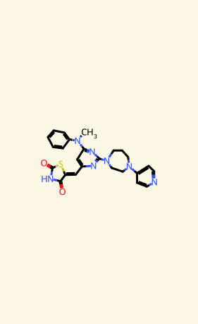 CN(c1ccccc1)c1cc(/C=C2\SC(=O)NC2=O)nc(N2CCCN(c3ccncc3)CC2)n1